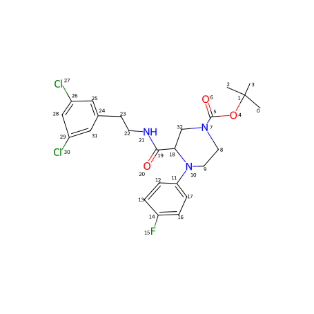 CC(C)(C)OC(=O)N1CCN(c2ccc(F)cc2)C(C(=O)NCCc2cc(Cl)cc(Cl)c2)C1